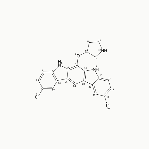 Clc1ccc2[nH]c3c(OC4CCNC4)c4[nH]c5ccc(Cl)cc5c4cc3c2c1